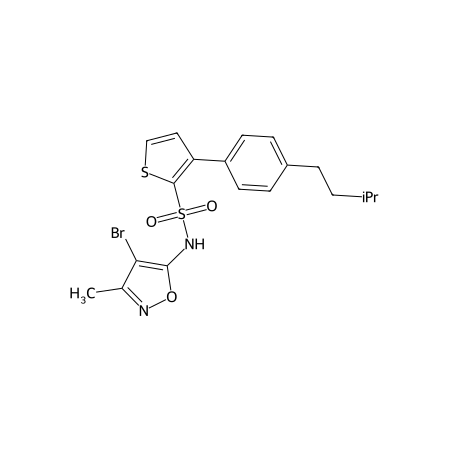 Cc1noc(NS(=O)(=O)c2sccc2-c2ccc(CCC(C)C)cc2)c1Br